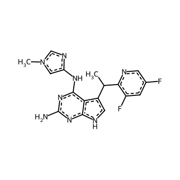 CC(c1ncc(F)cc1F)c1c[nH]c2nc(N)nc(Nc3cn(C)cn3)c12